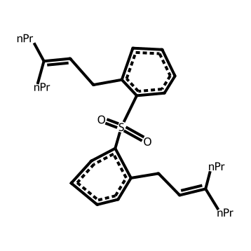 CCCC(=CCc1ccccc1S(=O)(=O)c1ccccc1CC=C(CCC)CCC)CCC